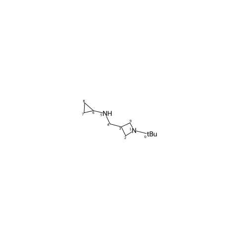 CC(C)(C)N1CC(CNC2CC2)C1